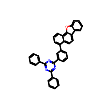 c1ccc(-c2nc(-c3ccccc3)nc(-c3cccc(-c4cccc5c4ccc4c6ccccc6oc54)c3)n2)cc1